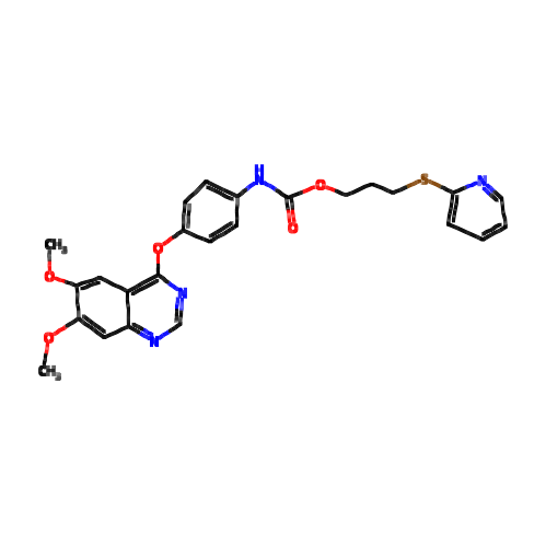 COc1cc2ncnc(Oc3ccc(NC(=O)OCCCSc4ccccn4)cc3)c2cc1OC